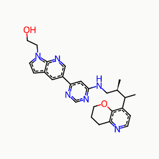 CC(c1ccnc2c1OCCC2)[C@H](C)CNc1cc(-c2cnc3c(ccn3CCO)c2)ncn1